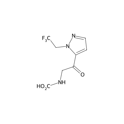 O=C(O)NCC(=O)c1ccnn1CC(F)(F)F